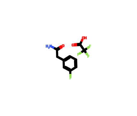 NC(=O)Cc1cccc(F)c1.O=C(O)C(F)(F)F